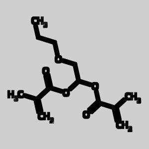 C=C(C)C(=O)OC(COCCC)OC(=O)C(=C)C